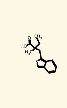 CCC(C)(Cc1scc2ccccc12)C(=O)O